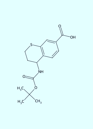 CC(C)(C)OC(=O)NC1CCSc2cc(C(=O)O)ccc21